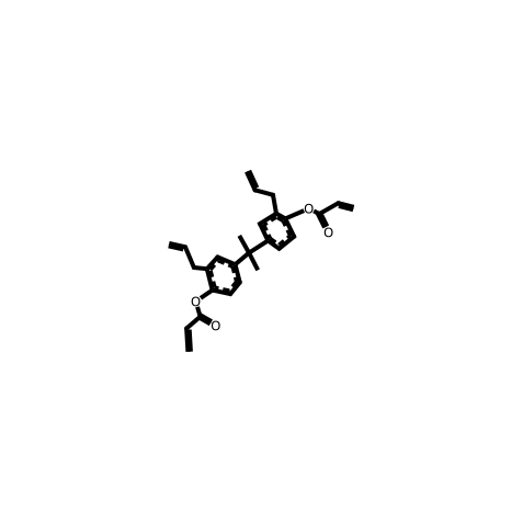 C=CCc1cc(C(C)(C)c2ccc(OC(=O)C=C)c(CC=C)c2)ccc1OC(=O)C=C